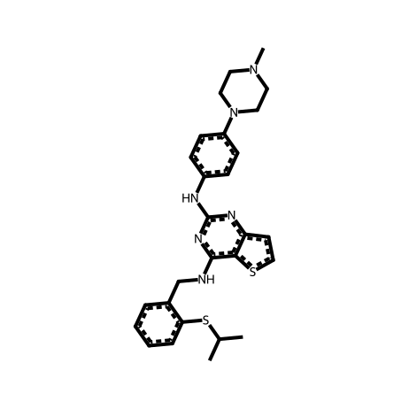 CC(C)Sc1ccccc1CNc1nc(Nc2ccc(N3CCN(C)CC3)cc2)nc2ccsc12